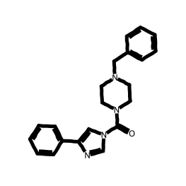 O=C(N1CCN(Cc2ccccc2)CC1)n1cnc(-c2ccccc2)c1